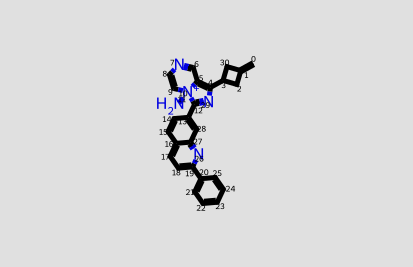 C=C1CC(C2=C3C=NC=C[N+]3(N)C(c3ccc4ccc(-c5ccccc5)nc4c3)=N2)C1